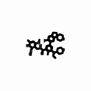 CCN(c1cc(-c2cc3c(cc2F)CCC32CCOCC2)cc(C(=O)NCC2=C(OC)C=C(C)NC2=C=O)c1C)C1CCOCC1